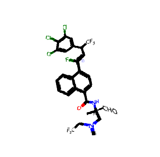 CN(CC(F)(F)F)C[C@@](C)(C=O)NC(=O)c1ccc(/C(F)=C/C(c2cc(Cl)c(Cl)c(Cl)c2)C(F)(F)F)c2ccccc12